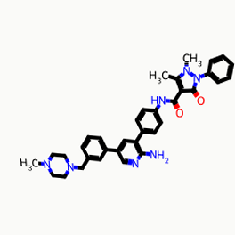 Cc1c(C(=O)Nc2ccc(-c3cc(-c4cccc(CN5CCN(C)CC5)c4)cnc3N)cc2)c(=O)n(-c2ccccc2)n1C